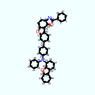 c1ccc(-c2nc3ccc4oc5cc(-c6ccc(N(c7ccccc7)c7cccc8c7oc7ccccc78)cc6)ccc5c4c3o2)cc1